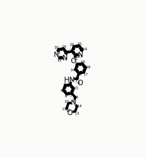 O=C(Nc1cccc(CN2CCOCC2)c1)c1cccc(Oc2ncccc2-c2ccncn2)c1